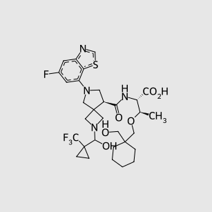 C[C@@H](OCC1(CO)CCCCC1)[C@H](NC(=O)[C@@H]1CN(c2cc(F)cc3ncsc23)CC12CN(C(O)C1(C(F)(F)F)CC1)C2)C(=O)O